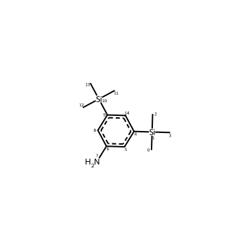 C[Si](C)(C)c1cc(N)cc([Si](C)(C)C)c1